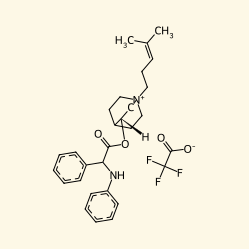 CC(C)=CCC[N+]12CCC(CC1)[C@@H](OC(=O)C(Nc1ccccc1)c1ccccc1)C2.O=C([O-])C(F)(F)F